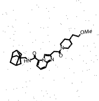 COCCC1CCN(C(=O)Cc2cn3c(C(=O)NCC45CC6CC(CC(C6)C4)C5)cccc3n2)CC1